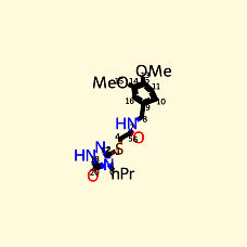 CCCn1c(SCC(=O)NCc2ccc(OC)c(OC)c2)n[nH]c1=O